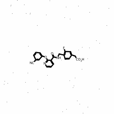 N#Cc1cccc(Oc2ncccc2C(=O)NCc2ccc(CC(=O)O)cc2F)c1